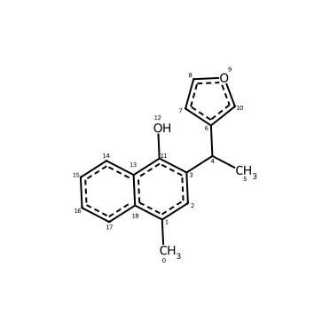 Cc1cc(C(C)c2ccoc2)c(O)c2ccccc12